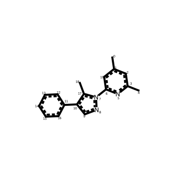 Cc1cc(C)nc(-n2ncc(-c3ccccc3)c2C)c1